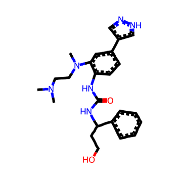 CN(C)CCN(C)c1cc(-c2cn[nH]c2)ccc1NC(=O)NC(CCO)c1ccccc1